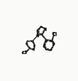 Clc1ccc(-n2ccnc2-c2ccccc2Cl)cc1